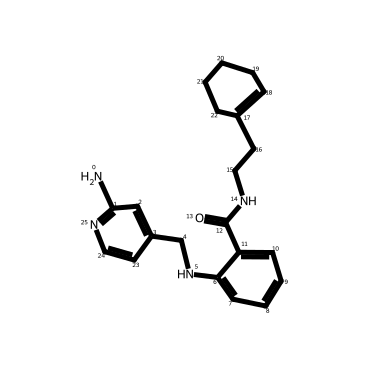 Nc1cc(CNc2ccccc2C(=O)NCCC2=CCCCC2)ccn1